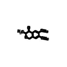 COc1cc2c(cc1OC)C(=O)C(C)OC2